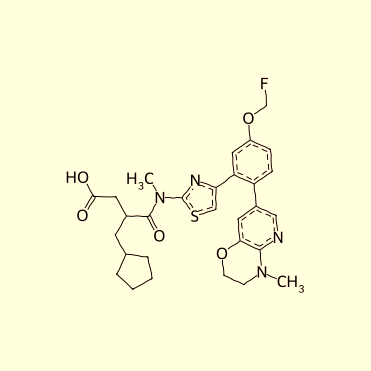 CN1CCOc2cc(-c3ccc(OCF)cc3-c3csc(N(C)C(=O)C(CC(=O)O)CC4CCCC4)n3)cnc21